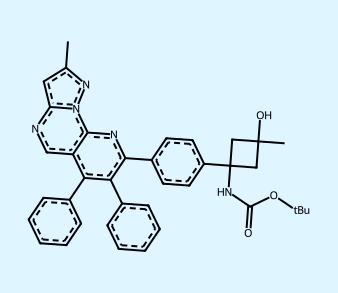 Cc1cc2ncc3c(-c4ccccc4)c(-c4ccccc4)c(-c4ccc(C5(NC(=O)OC(C)(C)C)CC(C)(O)C5)cc4)nc3n2n1